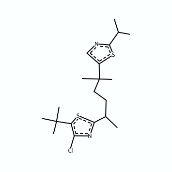 CC(C)c1ncc(C(C)(C)CCC(C)c2nc(Cl)c(C(C)(C)C)s2)s1